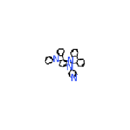 c1ccc(-c2ccccc2-c2nc3c4c5ccccc5n(-c5ccccc5)c4ccc3n2-c2ccncc2)cc1